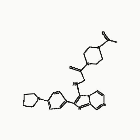 CC(=O)N1CCN(C(=O)CNc2c(-c3ccc(N4CCCC4)cc3)nc3cnccn23)CC1